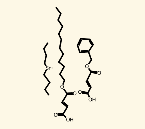 CCCCCCCCCCCCOC(=O)C=CC(=O)O.CCC[CH2][Sn][CH2]CCC.O=C(O)C=CC(=O)OCc1ccccc1